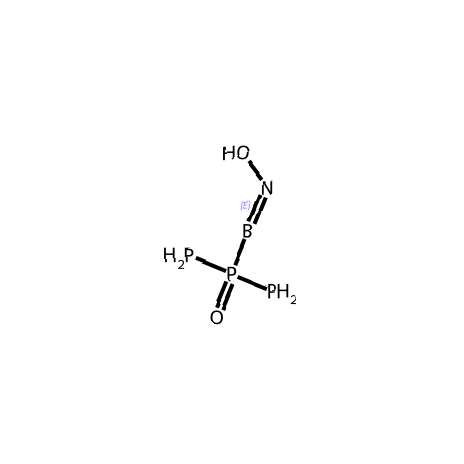 O=P(P)(P)/B=N/O